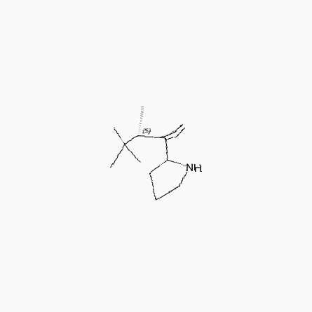 C=C(C1CCCN1)[C@@H](C)C(C)(C)C